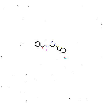 OC(CNc1cc(-c2cc3cc(OC(F)(F)F)ccc3s2)ncn1)c1ccccc1